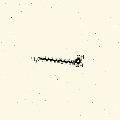 CCCCCCCCCCCCCCCCCCSc1cc(O)ccc1O